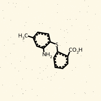 Cc1ccc(Sc2ccccc2C(=O)O)c(N)c1